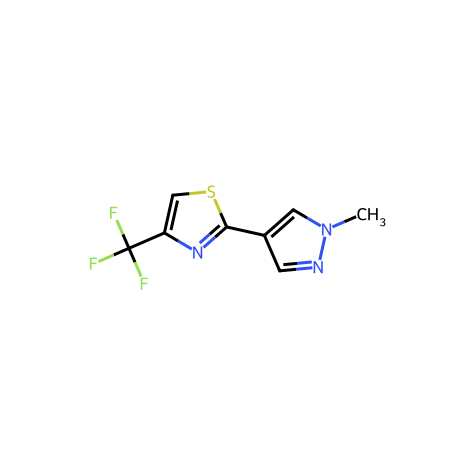 Cn1cc(-c2nc(C(F)(F)F)cs2)cn1